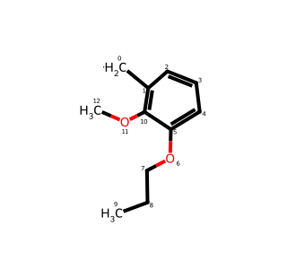 [CH2]c1cccc(OCCC)c1OC